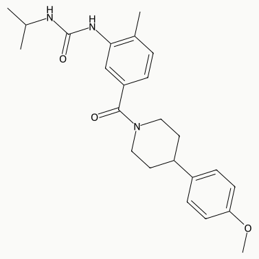 COc1ccc(C2CCN(C(=O)c3ccc(C)c(NC(=O)NC(C)C)c3)CC2)cc1